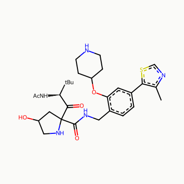 CC(=O)N[C@H](C(=O)C1(C(=O)NCc2ccc(-c3scnc3C)cc2OC2CCNCC2)CC(O)CN1)C(C)(C)C